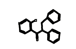 O=C(c1ccncc1Cl)N(Cc1ccccc1)c1ccccc1